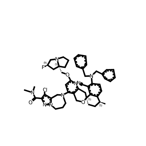 C[C@H]1CC[C@]2(Cc3nc(OC[C@@]45CCCN4C[C@H](F)C5)cc(N4CCCn5nc(C(=O)N(C)C)c(Cl)c5C4)c3CO2)c2c1ccc(N(Cc1ccccc1)Cc1ccccc1)c2C#N